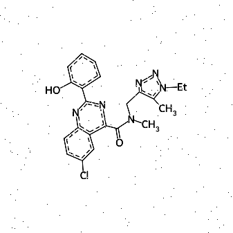 CCn1nnc(CN(C)C(=O)c2nc(-c3ccccc3O)nc3ccc(Cl)cc23)c1C